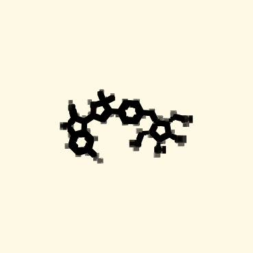 CC1(C)OC(C2C(=O)Nc3ccc(F)cc32)C=C1c1ccc(CN2[C@H](CO)[C@@H](O)[C@H](O)[C@@H]2CO)cc1